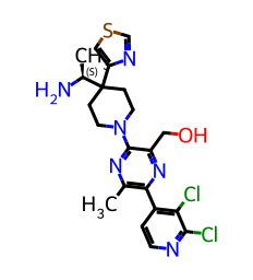 Cc1nc(N2CCC(c3cscn3)([C@H](C)N)CC2)c(CO)nc1-c1ccnc(Cl)c1Cl